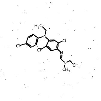 CCN(C)C=Nc1cc(Cl)c(N(CC)c2ccc(Cl)cc2)cc1Cl